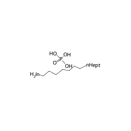 CCCCCCCCCCCCC[CH2][InH2].O=P(O)(O)O